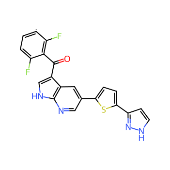 O=C(c1c(F)[c]ccc1F)c1c[nH]c2ncc(-c3ccc(-c4cc[nH]n4)s3)cc12